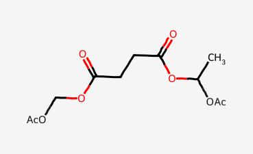 CC(=O)OCOC(=O)CCC(=O)OC(C)OC(C)=O